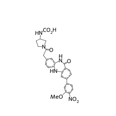 COc1cc(-c2ccc3c(c2)Nc2ccc(CC(=O)N4CCC(NC(=O)O)C4)cc2NC3=O)ccc1[N+](=O)[O-]